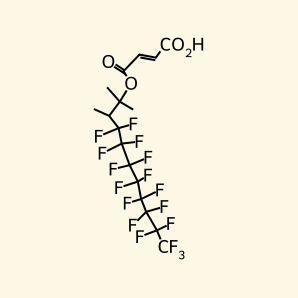 CC(C(C)(C)OC(=O)C=CC(=O)O)C(F)(F)C(F)(F)C(F)(F)C(F)(F)C(F)(F)C(F)(F)C(F)(F)C(F)(F)F